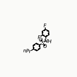 CCCc1ccc(S(=O)(=O)Nc2ccc(F)cc2F)cc1